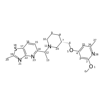 COc1cc(OC[C@H]2CCCN(C(C)c3ccc4sc(C)nc4n3)C2)cc(C)n1